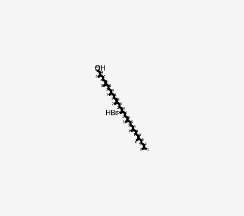 Br.CC(C)=CCC/C(C)=C/CC/C(C)=C/CC/C(C)=C/CC/C(C)=C/CC/C(C)=C/CC/C(C)=C/CC/C(C)=C/CC/C(C)=C/CO